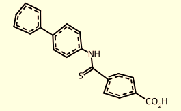 O=C(O)c1ccc(C(=S)Nc2ccc(-c3ccccc3)cc2)cc1